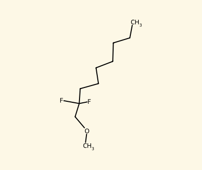 CCCCCCCC(F)(F)COC